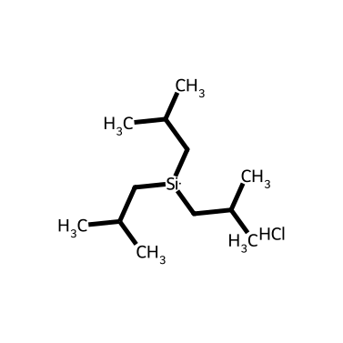 CC(C)C[Si](CC(C)C)CC(C)C.Cl